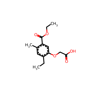 CCOC(=O)c1cc(OCC(=O)O)c(CC)cc1C